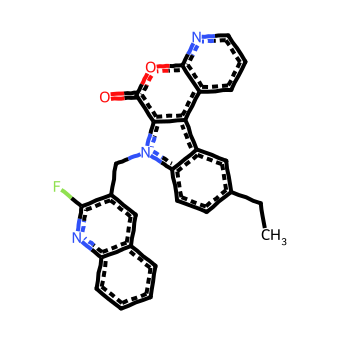 CCc1ccc2c(c1)c1c3cccnc3oc(=O)c1n2Cc1cc2ccccc2nc1F